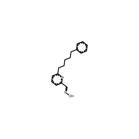 O/N=C/c1cccc(CCCCCc2ccccc2)n1